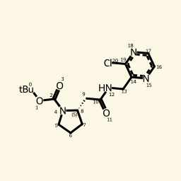 CC(C)(C)OC(=O)N1CCC[C@H]1CC(=O)NCc1nccnc1Cl